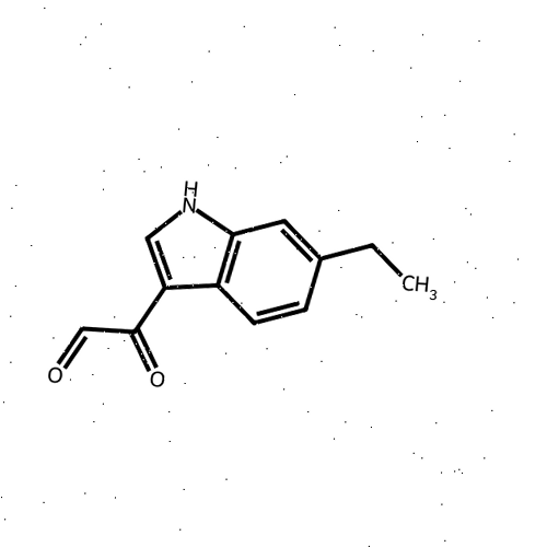 CCc1ccc2c(C(=O)C=O)c[nH]c2c1